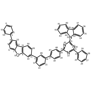 c1ccc(-c2ccc3oc4cc(-c5cccc(-c6ccc(-c7nc(-c8ccccc8)nc(-n8c9ccccc9c9ccccc98)n7)cc6)c5)ccc4c3c2)cc1